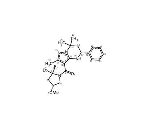 CCC1(CC)C[C@@H](OC)CN1C(=O)c1c(C)nn2c1N[C@@H](c1ccccc1)CC2(C)C